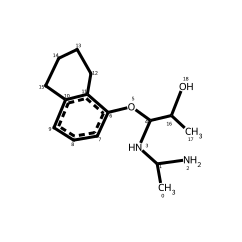 CC(N)NC(Oc1cccc2c1CCCC2)C(C)O